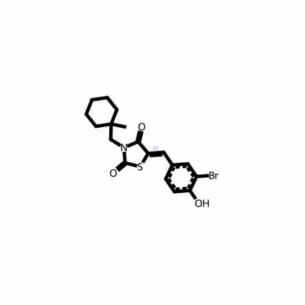 CC1(CN2C(=O)S/C(=C\c3ccc(O)c(Br)c3)C2=O)CCCCC1